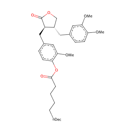 CCCCCCCCCCCCCCC(=O)Oc1ccc(C[C@H]2C(=O)OC[C@@H]2Cc2ccc(OC)c(OC)c2)cc1OC